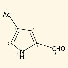 CC(=O)c1c[nH]c(C=O)c1